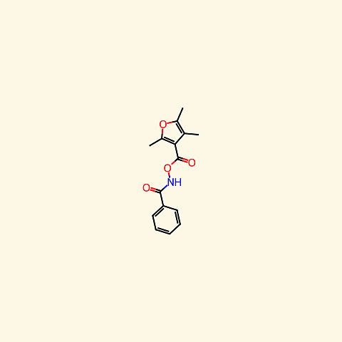 Cc1oc(C)c(C(=O)ONC(=O)c2ccccc2)c1C